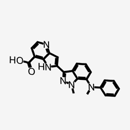 CN(c1ccccc1)c1cccc2c(-c3cc4nccc(C(=O)O)c4[nH]3)nn(C)c12